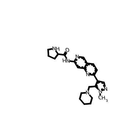 Cn1ncc(-c2ccc3cnc(NC(=O)C4CCCN4)cc3n2)c1CN1CCCCC1